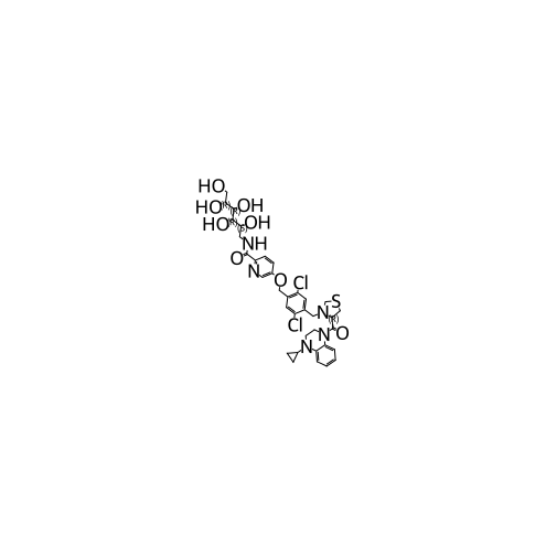 O=C(NC[C@H](O)[C@@H](O)[C@H](O)[C@H](O)CO)c1ccc(OCc2cc(Cl)c(CN3CSC[C@H]3C(=O)N3CCN(C4CC4)c4ccccc43)cc2Cl)cn1